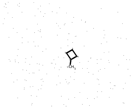 C[C]1C[CH]C1